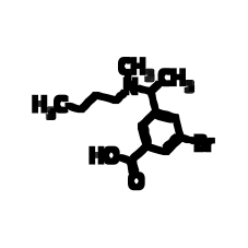 CCCCN(C)C(C)c1cc(Br)cc(C(=O)O)c1